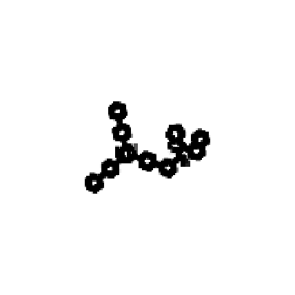 c1ccc(-c2ccc(-c3cc(-c4ccc(-c5cccc(-c6nc7ccc8ccccc8c7c7c6sc6ccccc67)c5)cc4)nc(-c4ccc(-c5ccccc5)cc4)n3)cc2)cc1